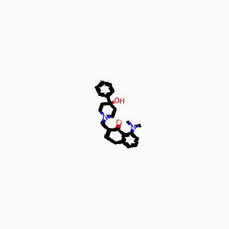 CN(C)c1cccc2c1C(=O)C(CN1CCC(O)(c3ccccc3)CC1)CC2